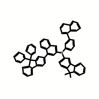 CC1(C)c2ccccc2-c2cc(N(c3cccc(-c4cccc5ccccc45)c3)c3cc(-c4ccc5c(c4)C(c4ccccc4)(c4ccccc4)c4ccccc4-5)c4ccccc4c3)ccc21